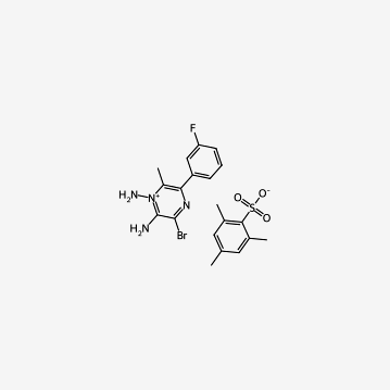 Cc1c(-c2cccc(F)c2)nc(Br)c(N)[n+]1N.Cc1cc(C)c(S(=O)(=O)[O-])c(C)c1